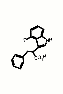 O=C(O)C(Cc1ccccc1)c1c[nH]c2cccc(F)c12